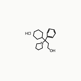 Cl.OCCC(c1ccccc1)(C1CCCCC1)N1CCCC1